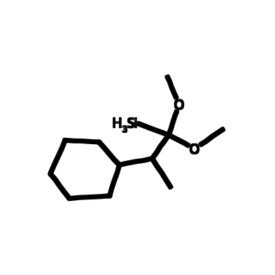 COC([SiH3])(OC)C(C)C1CCCCC1